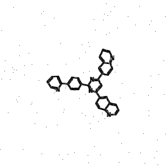 c1ccc(-c2ccc(-c3nc(-c4ccc5ncccc5c4)cc(-c4ccc5ncccc5c4)n3)cc2)nc1